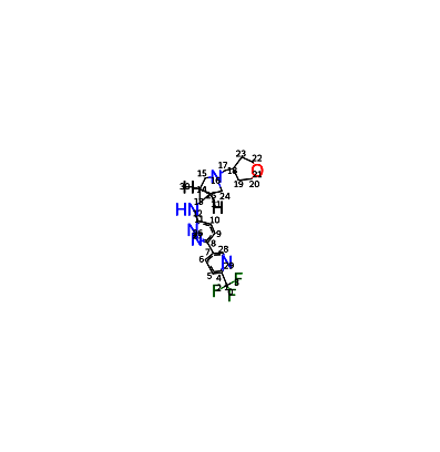 FC(F)(F)c1ccc(-c2ccc(N[C@@H]3[C@@H]4CN(CC5CCOCC5)C[C@@H]43)nn2)cn1